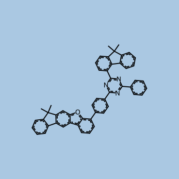 CC1(C)c2ccccc2-c2cc3c(cc21)oc1c(-c2ccc(-c4nc(-c5ccccc5)nc(-c5cccc6c5-c5ccccc5C6(C)C)n4)cc2)cccc13